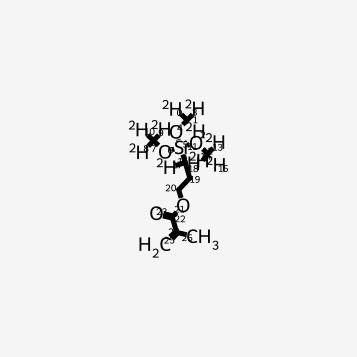 [2H]C([2H])([2H])O[Si](OC([2H])([2H])[2H])(OC([2H])([2H])[2H])C([2H])([2H])CCOC(=O)C(=C)C